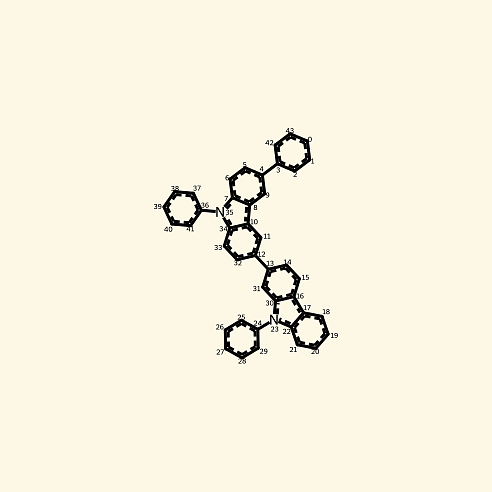 c1ccc(-c2ccc3c(c2)c2cc(-c4ccc5c6ccccc6n(-c6ccccc6)c5c4)ccc2n3-c2ccccc2)cc1